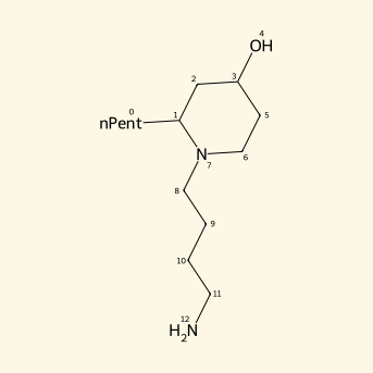 CCCCCC1CC(O)CCN1CCCCN